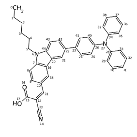 CCCCCCn1c2ccc(C=C(C#N)C(=O)O)cc2c2cc(-c3ccc(N(c4ccccc4)c4ccccc4)cc3)ccc21